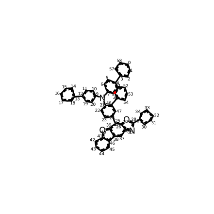 c1ccc(-c2ccc(N(c3ccc(-c4ccccc4)cc3)c3ccc(-c4c5oc(-c6ccccc6)nc5cc5c4oc4ccccc45)cc3-c3ccccc3)cc2)cc1